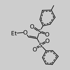 CCOC=C(S(=O)(=O)c1ccccc1)S(=O)(=O)c1ccc(C)cc1